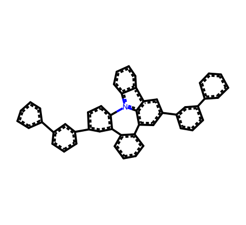 c1ccc(-c2cccc(-c3ccc4c(c3)-c3ccccc3-c3cc(-c5cccc(-c6ccccc6)c5)cc5c6ccccc6n-4c35)c2)cc1